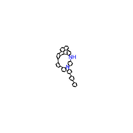 c1ccc(-c2ccc(-c3ccc(N4c5ccc(cc5)Nc5ccccc5-c5cc6cc(ccc6c6ccc7ccccc7c56)-c5cccc(c5)-c5ccccc54)cc3)cc2)cc1